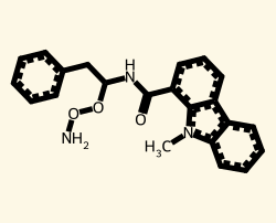 Cn1c2ccccc2c2cccc(C(=O)NC(Cc3ccccc3)OON)c21